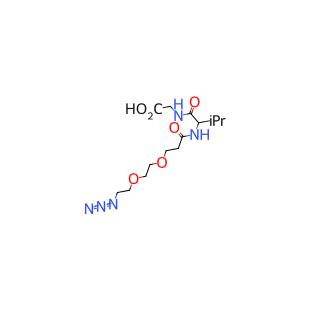 CC(C)C(NC(=O)CCOCCOCCN=[N+]=[N-])C(=O)NCC(=O)O